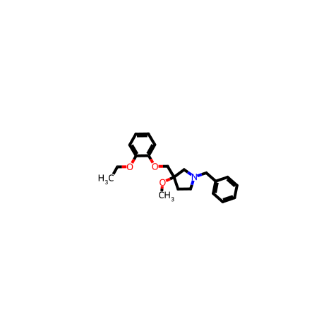 CCOc1ccccc1OCC1(OC)CCN(Cc2ccccc2)C1